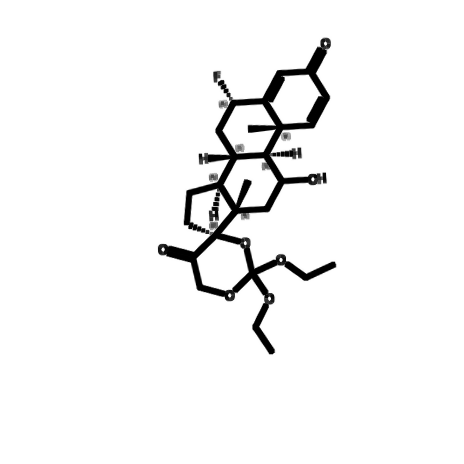 CCOC1(OCC)OCC(=O)[C@]2(CC[C@H]3[C@@H]4C[C@H](F)C5=CC(=O)C=C[C@]5(C)[C@H]4C(O)C[C@@]32C)O1